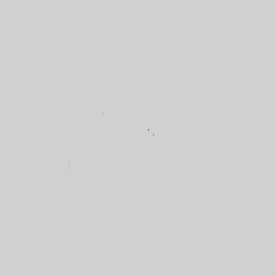 ClC1=CN(C2CC2)CO1